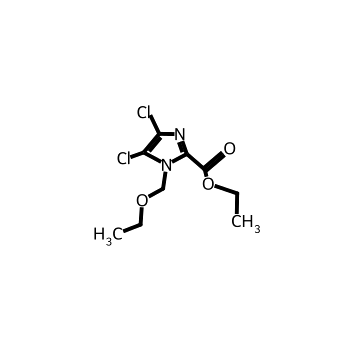 CCOCn1c(C(=O)OCC)nc(Cl)c1Cl